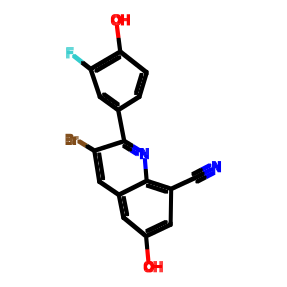 N#Cc1cc(O)cc2cc(Br)c(-c3ccc(O)c(F)c3)nc12